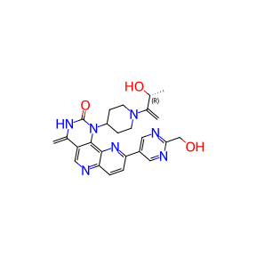 C=C1NC(=O)N(C2CCN(C(=C)[C@@H](C)O)CC2)c2c1cnc1ccc(-c3cnc(CO)nc3)nc21